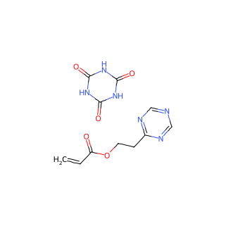 C=CC(=O)OCCc1ncncn1.O=c1[nH]c(=O)[nH]c(=O)[nH]1